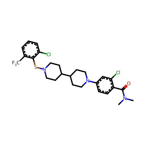 CN(C)C(=O)c1ccc(N2CCC(C3CCN(Sc4c(Cl)cccc4C(F)(F)F)CC3)CC2)cc1Cl